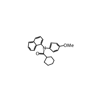 COc1ccc(N(C(=O)C2CCCCC2)c2cccc3ccccc23)cc1